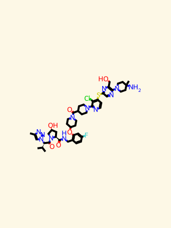 Cc1cn([C@H](C(=O)N2C[C@H](O)C[C@H]2C(=O)NCc2ccc(F)cc2OC2CCN(C(=O)C3CCN(c4nccc(Sc5cnc(N6CCC(C)(N)CC6)c(CO)n5)c4Cl)CC3)CC2)C(C)C)nn1